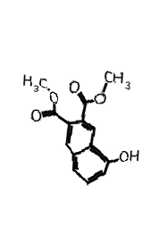 COC(=O)c1cc2cccc(O)c2cc1C(=O)OC